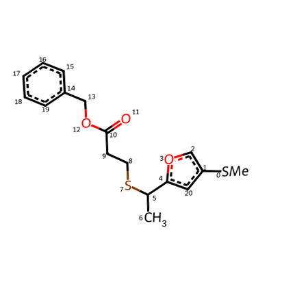 CSc1coc(C(C)SCCC(=O)OCc2ccccc2)c1